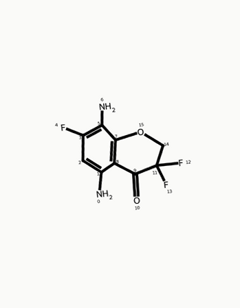 Nc1cc(F)c(N)c2c1C(=O)C(F)(F)CO2